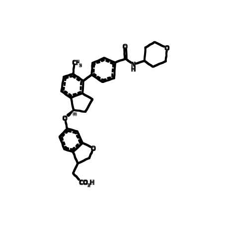 O=C(O)CC1COc2cc(O[C@@H]3CCc4c3ccc(C(F)(F)F)c4-c3ccc(C(=O)NC4CCOCC4)cc3)ccc21